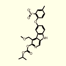 COCc1c(OC(=O)OC(C)C)ncc2[nH]c3ccc(Oc4ccc(C)cc4[N+](=O)[O-])cc3c12